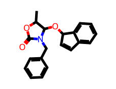 CC1OC(=O)N(Cc2ccccc2)C1OC1C=Cc2ccccc21